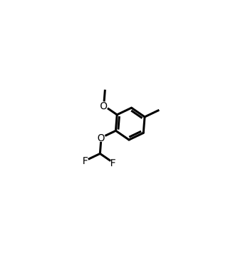 COc1cc(C)ccc1OC(F)F